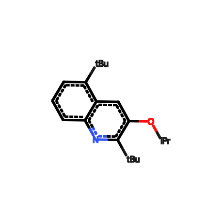 CC(C)Oc1cc2c(C(C)(C)C)cccc2nc1C(C)(C)C